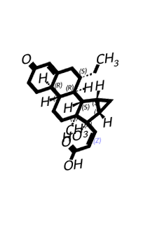 CC[C@H]1CC2=CC(=O)CC[C@@H]2[C@H]2CC[C@@]3(C)[C@@H]([C@@H]4C[C@@H]4[C@@]3(O)/C=C\C(=O)O)[C@H]12